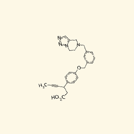 CC#CC(CC(=O)O)c1ccc(OCc2cccc(CN3CCn4nncc4C3)c2)cc1